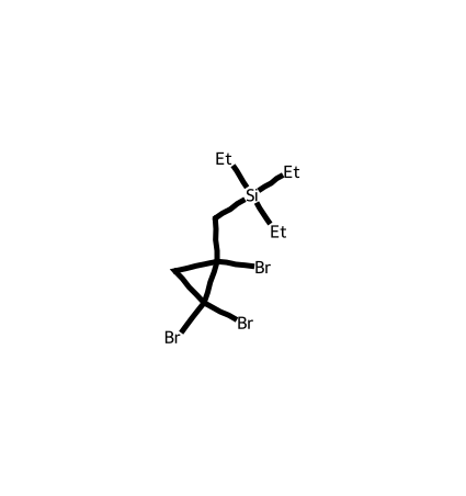 CC[Si](CC)(CC)CC1(Br)CC1(Br)Br